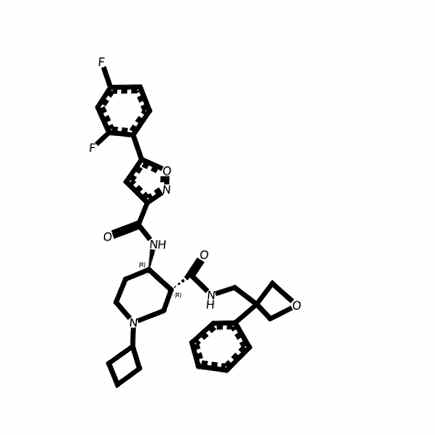 O=C(N[C@@H]1CCN(C2CCC2)C[C@H]1C(=O)NCC1(c2ccccc2)COC1)c1cc(-c2ccc(F)cc2F)on1